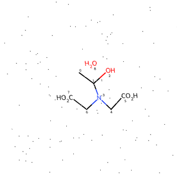 CC(O)N(CC(=O)O)CC(=O)O.O